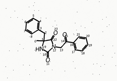 CC1(Cc2ccccc2)NC(=O)N(CC(=O)c2ccccc2)C1=O